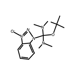 CN(C)C(OC(C)(C)C)(N(C)C)n1n[n+]([O-])c2ccccc21